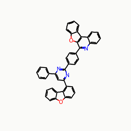 c1ccc(-c2cc(-c3cccc4oc5ccccc5c34)nc(-c3ccc(-c4nc5ccccc5c5c4oc4ccccc45)cc3)n2)cc1